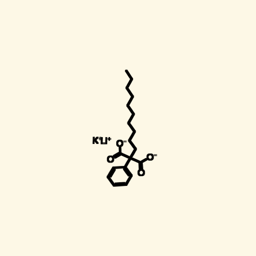 CCCCCCCCCCC(C(=O)[O-])(C(=O)[O-])c1ccccc1.[K+].[Li+]